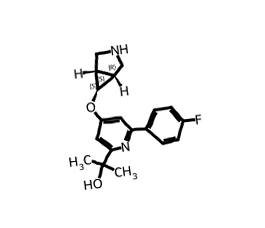 CC(C)(O)c1cc(O[C@H]2[C@@H]3CNC[C@@H]32)cc(-c2ccc(F)cc2)n1